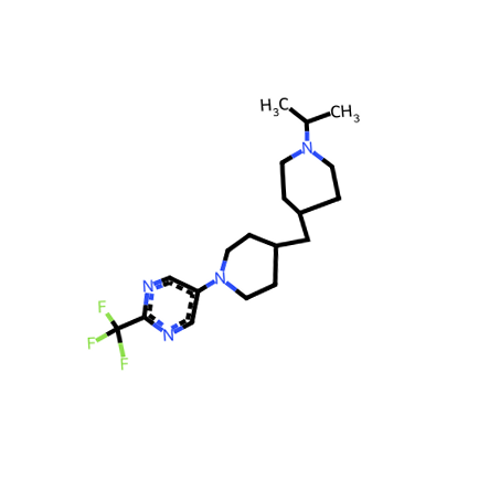 CC(C)N1CCC(CC2CCN(c3cnc(C(F)(F)F)nc3)CC2)CC1